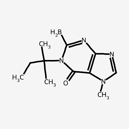 Bc1nc2ncn(C)c2c(=O)n1C(C)(C)CC